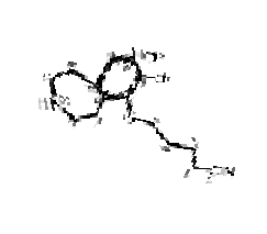 Cl.N#CCCCCSc1c(Cl)ccc2c1CCNCC2